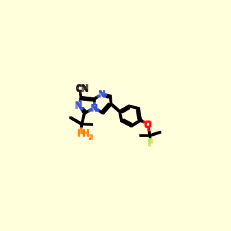 CC(C)(F)Oc1ccc(-c2cnc3c(C#N)nc(C(C)(C)P)n3c2)cc1